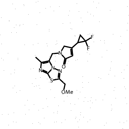 COCc1nn2c(CN3CC(C4CC4(F)F)=CC3=O)c(C)nc2s1